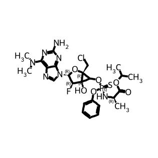 CC(C)OC(=O)[C@@H](C)N[P@@](=S)(Oc1ccccc1)OC1[C@@]2(CCl)O[C@@H](n3cnc4c(N(C)C)nc(N)nc43)[C@H](F)[C@@]12O